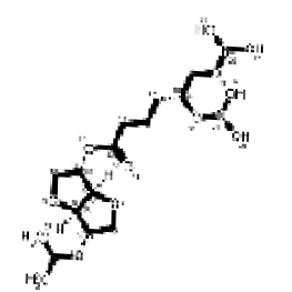 CC(C)O[C@H]1CO[C@H]2[C@@H]1OC[C@@H]2OC(=O)CCC[C@H](CON(O)O)ON(O)O